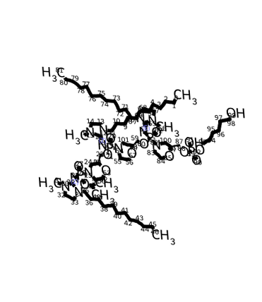 CCCCCCCCCCCCN1CCN(C)/C1=N/P(=O)(OC[C@@H]1CN(P(=O)(/N=C2/N(C)CCN2CCCCCCCCCCCC)OC(C)C)CCO1)N1CCO[C@H](COP(=O)(/N=C2\N(C)CCN2CCCCCCCCCCCC)N2CCO[C@H](COP(=O)(O)OCCCCCCO)C2)C1